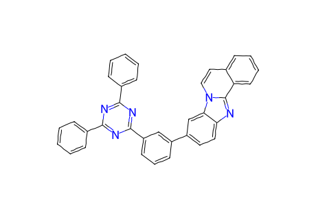 c1ccc(-c2nc(-c3ccccc3)nc(-c3cccc(-c4ccc5nc6c7ccccc7ccn6c5c4)c3)n2)cc1